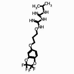 CC(C)NC(=N)NC(=N)NOCCCOc1ccc2c(c1)OC(F)(F)C(F)(F)O2